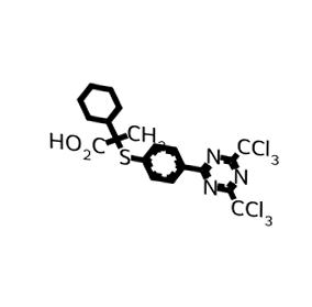 CC(Sc1ccc(-c2nc(C(Cl)(Cl)Cl)nc(C(Cl)(Cl)Cl)n2)cc1)(C(=O)O)C1CCCCC1